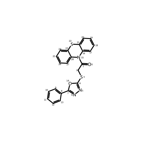 O=C(CSc1nnc(-c2ccccc2)o1)N1c2ccccc2Sc2ccccc21